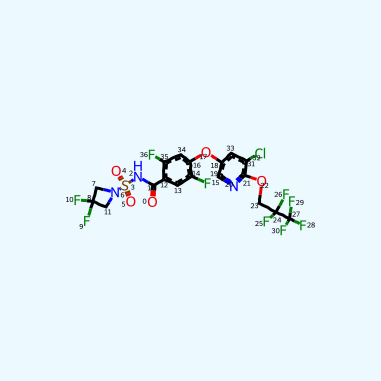 O=C(NS(=O)(=O)N1CC(F)(F)C1)c1cc(F)c(Oc2cnc(OCC(F)(F)C(F)(F)F)c(Cl)c2)cc1F